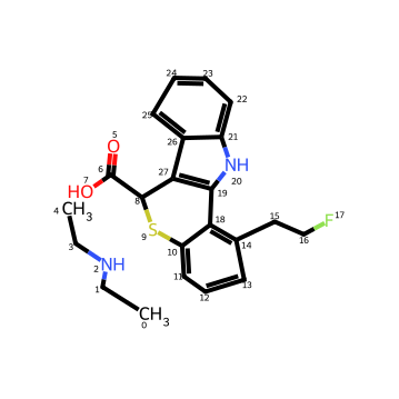 CCNCC.O=C(O)C1Sc2cccc(CCF)c2-c2[nH]c3ccccc3c21